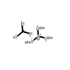 CCC(CC)CC.CO[SiH](OC)OC